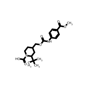 COC(=O)c1ccc(NC(=O)OCC2CCN(C(=O)O)C(C(C)(C)C)C2)cc1